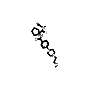 COCCN1CCN(c2ccc(C(=O)NC3(C(=O)N(C)C#N)CCCCC3)cc2)CC1